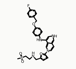 CS(=O)(=O)CCNCc1ccc(N2C=CC3=CNC=C(Nc4ccc(OCc5ccc(F)cc5)cc4)C3=C2)o1